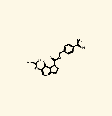 CCCC(Nc1cnc2n(c1=O)C(C(=O)NCc1ccc(C(=N)N)cc1)CC2)C(=O)O